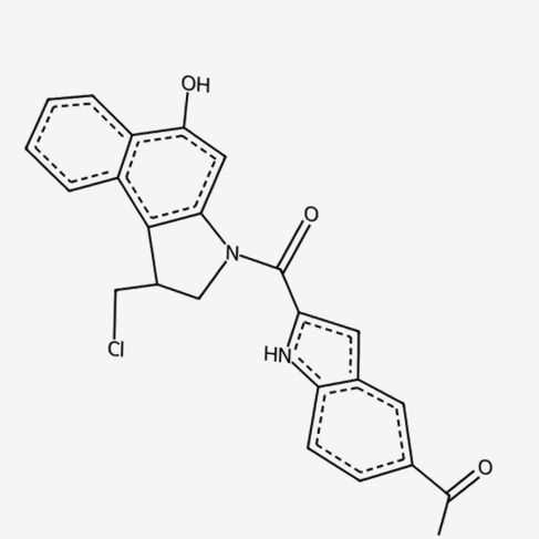 CC(=O)c1ccc2[nH]c(C(=O)N3CC(CCl)c4c3cc(O)c3ccccc43)cc2c1